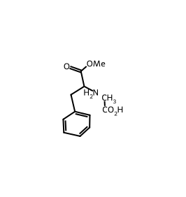 CC(=O)O.COC(=O)C(N)Cc1ccccc1